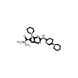 CN(C)C(=O)c1cc2cnc(NC3=NC=C(N4CCCCC4)CC3)nc2n1N1CCCCC1